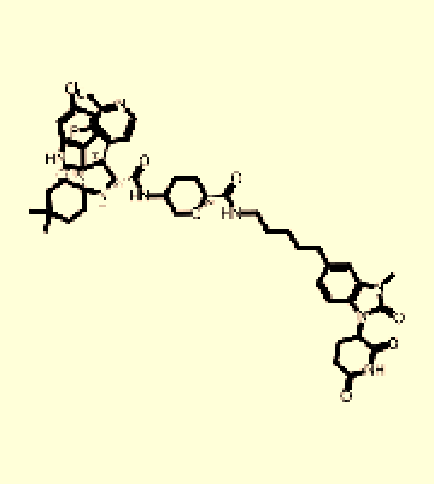 Cn1c(=O)n(C2CCC(=O)NC2=O)c2ccc(CCCCCNC(=O)[C@@H]3CCC(NC(=O)[C@@H]4NC5(CCC(C)(C)CC5)[C@@]5(C(=O)Nc6cc(Cl)ccc65)[C@H]4c4ccnc(Cl)c4F)CO3)cc21